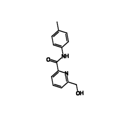 Cc1ccc(NC(=O)c2cccc(CO)n2)cc1